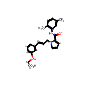 COc1ccc(C(F)(F)F)cc1NC(=O)c1cccn1C/C=C/c1cccc(OCC(=O)O)c1